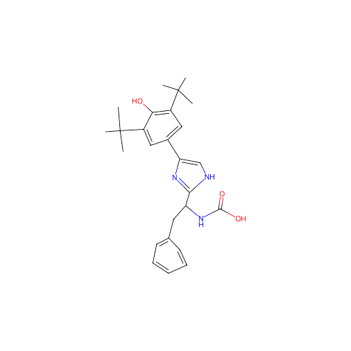 CC(C)(C)c1cc(-c2c[nH]c(C(Cc3ccccc3)NC(=O)O)n2)cc(C(C)(C)C)c1O